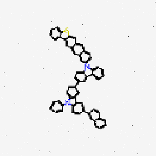 c1ccc(-n2c3ccc(-c4ccc5ccccc5c4)cc3c3cc(-c4ccc5c(c4)c4ccccc4n5-c4ccc5cc6cc7sc8ccccc8c7cc6cc5c4)ccc32)cc1